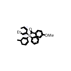 C/C=C\C(=C/CC)[Si](C(=O)c1ccc(OC)cc1)(C1=CC(C)CC=C1)c1ccccc1